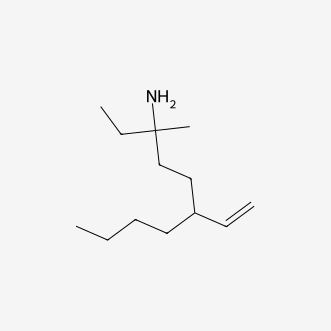 C=CC(CCCC)CCC(C)(N)CC